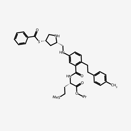 CSCC[C@H](NC(=O)c1cc(NC[C@@H]2C[C@H](SC(=O)c3ccccc3)CN2)ccc1CCc1ccc(C)cc1)C(=O)OC(C)C